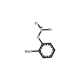 CC[SiH](CC)Oc1ccccc1OC